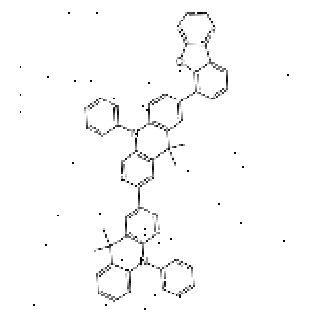 CC1(C)c2ccccc2N(c2ccccc2)c2ccc(-c3ccc4c(c3)C(C)(C)c3cc(-c5cccc6c5oc5ccccc56)ccc3N4c3ccccc3)cc21